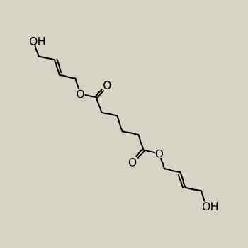 O=C(CCCCC(=O)OCC=CCO)OCC=CCO